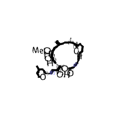 C=C1CC(OC)[C@@H]2O[C@H]2C[C@@H]([C@@H](O)/C=C/[C@@H]2CC(C)=CCO2)OC(=O)/C=C\C[C@@H]2C=CC[C@@H](C[C@@H](C)C1)O2